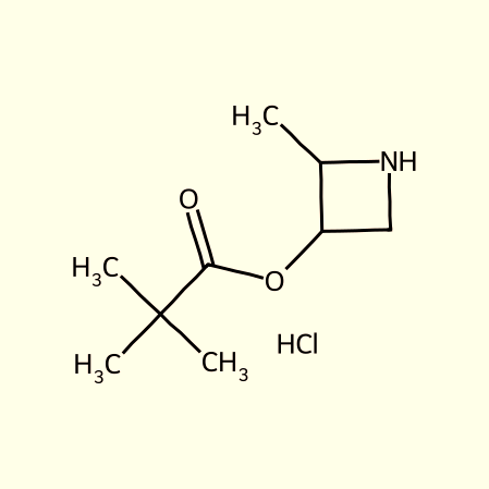 CC1NCC1OC(=O)C(C)(C)C.Cl